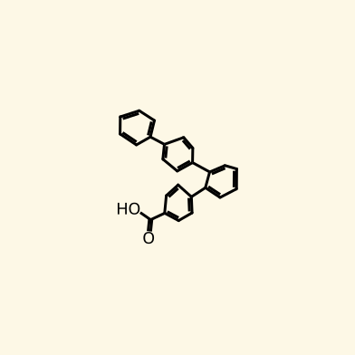 O=C(O)c1ccc(-c2ccccc2-c2ccc(-c3ccccc3)cc2)cc1